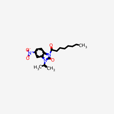 C=C(C)n1c(=O)n(C(=O)CCCCCCC)c2ccc([N+](=O)[O-])cc21